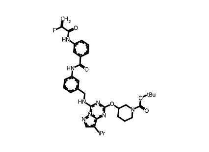 C=C(F)C(=O)Nc1cccc(C(=O)Nc2cccc(CNc3nc(OC4CCCN(C(=O)OC(C)(C)C)C4)nc4c(C(C)C)cnn34)c2)c1